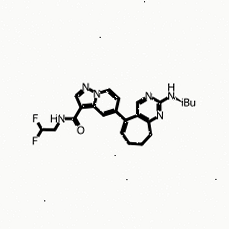 CC[C@H](C)Nc1ncc2c(n1)CCCC=C2c1ccn2ncc(C(=O)NCC(F)F)c2c1